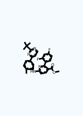 COC(=O)c1ccc(Nc2cc(-c3ccnc(C(C)(C)C)n3)ccc2C)nc1-c1ccc(F)cc1F